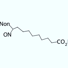 CCCCCCCCCC(CCCCCCCCC(=O)O)N=O